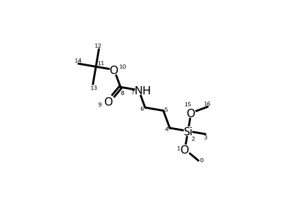 CO[Si](C)(CCCNC(=O)OC(C)(C)C)OC